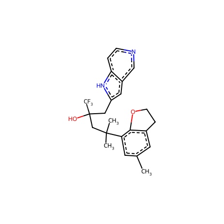 Cc1cc2c(c(C(C)(C)CC(O)(Cc3cc4cnccc4[nH]3)C(F)(F)F)c1)OCC2